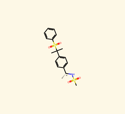 C[C@@H](NS(C)(=O)=O)c1ccc(C(C)(C)S(=O)(=O)c2ccccc2)cc1